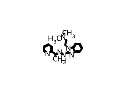 C/C(=N\Nc1nc2ccccc2n1CCN(C)C)c1ccccn1